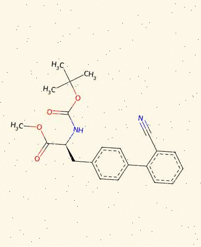 COC(=O)[C@H](Cc1ccc(-c2ccccc2C#N)cc1)NC(=O)OC(C)(C)C